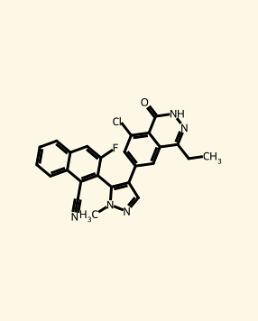 CCc1n[nH]c(=O)c2c(Cl)cc(-c3cnn(C)c3-c3c(F)cc4ccccc4c3C#N)cc12